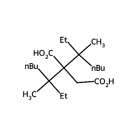 CCCCC(C)(CC)C(CC(=O)O)(C(=O)O)C(C)(CC)CCCC